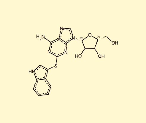 Nc1nc(Sc2c[nH]c3ccccc23)nc2c1ncn2[C@@H]1O[C@H](CO)C(O)C1O